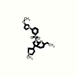 CCc1ccc2c(C3=CCN(C)CC3)cn(S(=O)(=O)c3cccc(N4CCC(OC)C4)c3)c2n1